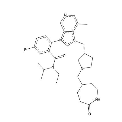 CCN(C(=O)c1cc(F)ccc1-n1cc(C[C@@H]2CCN(CC3CCNC(=O)CC3)C2)c2c(C)cncc21)C(C)C